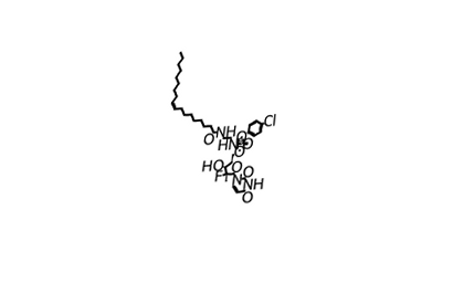 CCCCCCCC/C=C\CCCCCCCC(=O)NCCNP(=O)(OC[C@H]1O[C@@H](n2ccc(=O)[nH]c2=O)[C@](C)(F)[C@@H]1O)Oc1ccc(Cl)cc1